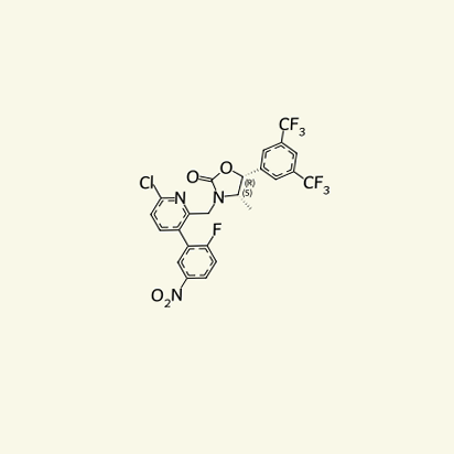 C[C@H]1[C@@H](c2cc(C(F)(F)F)cc(C(F)(F)F)c2)OC(=O)N1Cc1nc(Cl)ccc1-c1cc([N+](=O)[O-])ccc1F